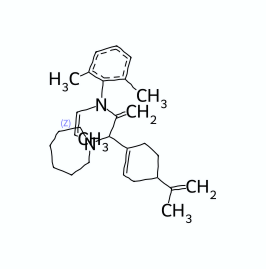 C=C(C)C1CC=C(C(C(=C)N(/C=C\C)c2c(C)cccc2C)N2CCCCCC2)CC1